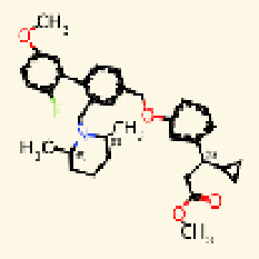 COC(=O)C[C@@H](c1cccc(OCc2ccc(-c3cc(OC)ccc3F)c(CN3[C@H](C)CCC[C@@H]3C)c2)c1)C1CC1